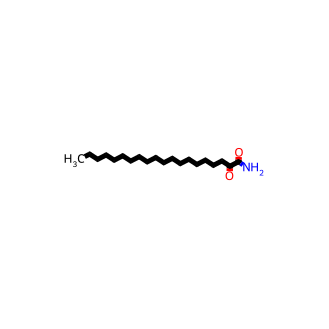 CCCCCCCCCCCCCCCCCCC(=O)C(N)=O